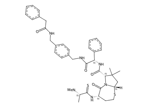 CN[C@@H](C)C(=S)N[C@H]1CCS[C@H]2CC(C)(C)[C@@H](C(=O)N[C@H](C(=O)NCc3ccc(CNC(=O)Cc4ccccc4)cc3)c3ccccc3)N2C1=O